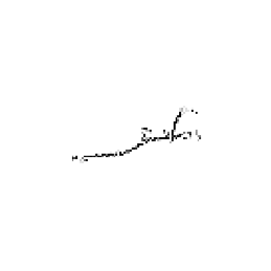 CCCCCCCCCOCCCCCCCN(CCO)CCCCCCCC(=O)OC(CCC)CCCCCCCC